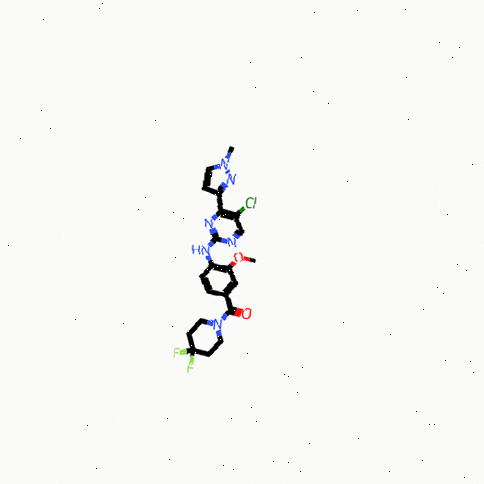 COc1cc(C(=O)N2CCC(F)(F)CC2)ccc1Nc1ncc(Cl)c(-c2ccn(C)n2)n1